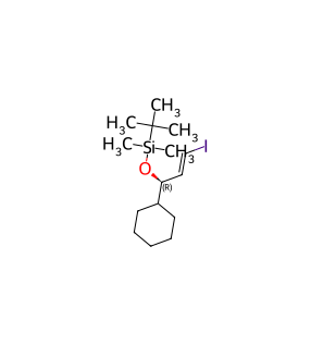 CC(C)(C)[Si](C)(C)O[C@@H](C=CI)C1CCCCC1